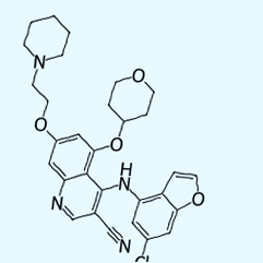 N#Cc1cnc2cc(OCCN3CCCCC3)cc(OC3CCOCC3)c2c1Nc1cc(Cl)cc2occc12